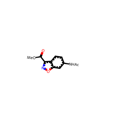 COC(=O)c1noc2cc(NC(C)=O)ccc12